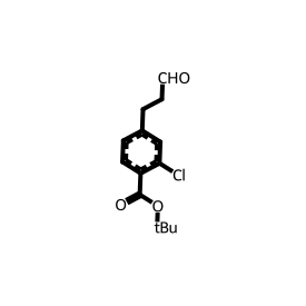 CC(C)(C)OC(=O)c1ccc(CCC=O)cc1Cl